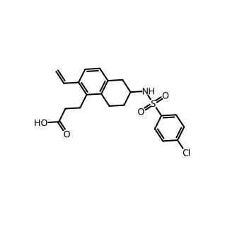 C=Cc1ccc2c(c1CCC(=O)O)CCC(NS(=O)(=O)c1ccc(Cl)cc1)C2